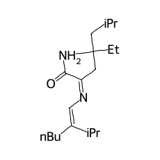 CCCC/C(=C/N=C(/CC(C)(CC)CC(C)C)C(N)=O)C(C)C